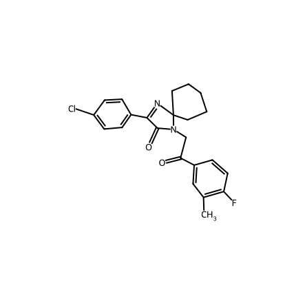 Cc1cc(C(=O)CN2C(=O)C(c3ccc(Cl)cc3)=NC23CCCCC3)ccc1F